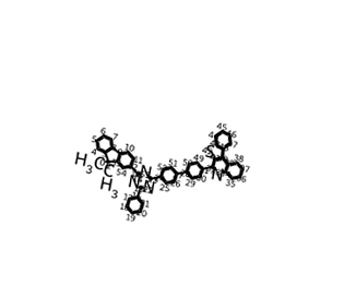 CC1(C)c2ccccc2-c2ccc(-c3nc(-c4ccccc4)nc(-c4ccc(-c5ccc(-c6nc7ccccc7c7c6sc6ccccc67)cc5)cc4)n3)cc21